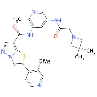 COc1cnccc1-c1cn2ncc(C(=O)Nc3cc(NC(=O)CN4CC(C)(C)C4)cnc3C)c2s1